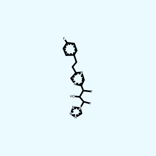 OC(C(F)c1cnc(CCc2ccc(F)cc2)cn1)C(F)n1cnnn1